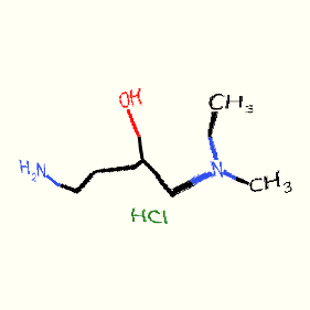 CN(C)CC(O)CN.Cl